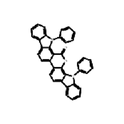 O=c1oc2c(ccc3c4ccccc4n(-c4ccccc4)c32)c2ccc3c4ccccc4n(-c4ccccc4)c3c12